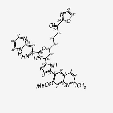 COc1cc2nc(C)ccc2cc1-c1cnc([C@H](CCCCCC(=O)c2ncco2)NC(=O)C(=N)/C=C2/N=CC=CN2)[nH]1